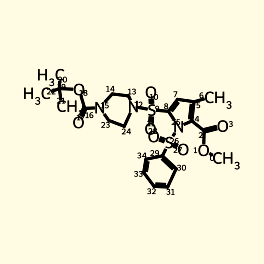 COC(=O)c1c(C)cc(S(=O)(=O)N2CCN(C(=O)OC(C)(C)C)CC2)n1S(=O)(=O)c1ccccc1